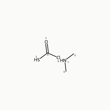 CNC.O=C(S)Cl